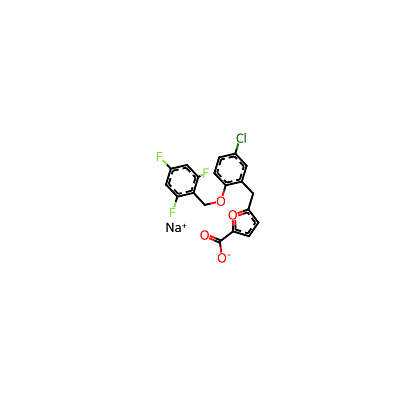 O=C([O-])c1ccc(Cc2cc(Cl)ccc2OCc2c(F)cc(F)cc2F)o1.[Na+]